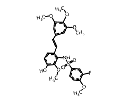 COc1ccc(S(=O)(=O)Nc2c(C=Cc3cc(OC)c(OC)c(OC)c3)ccc(O)c2OC)cc1F